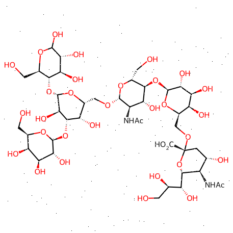 CC(=O)N[C@H]1[C@H](OC[C@H]2O[C@@H](O[C@H]3[C@H](O)[C@@H](O)C(O)O[C@@H]3CO)[C@H](O)[C@@H](O[C@@H]3O[C@H](CO)[C@H](O)[C@H](O)[C@H]3O)[C@H]2O)O[C@H](CO)[C@@H](O[C@@H]2O[C@H](CO[C@]3(C(=O)O)C[C@H](O)[C@@H](NC(C)=O)[C@H]([C@H](O)[C@H](O)CO)O3)[C@H](O)[C@H](O)[C@H]2O)[C@@H]1O